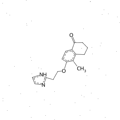 Cc1c(OCCc2ncc[nH]2)ccc2c1CCCC2=O